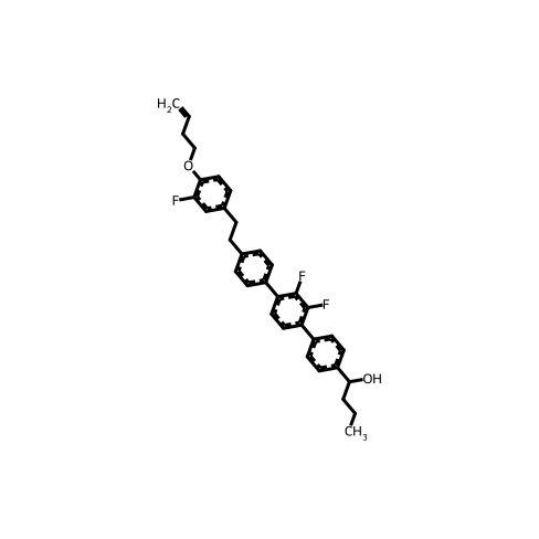 C=CCCOc1ccc(CCc2ccc(-c3ccc(-c4ccc(C(O)CCC)cc4)c(F)c3F)cc2)cc1F